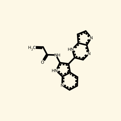 C=CC(=O)Nc1[nH]c2ncccc2c1-c1cnc2nccc-2[nH]1